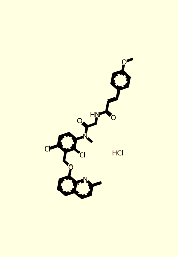 COc1ccc(C=CC(=O)NCC(=O)N(C)c2ccc(Cl)c(COc3cccc4ccc(C)nc34)c2Cl)cc1.Cl